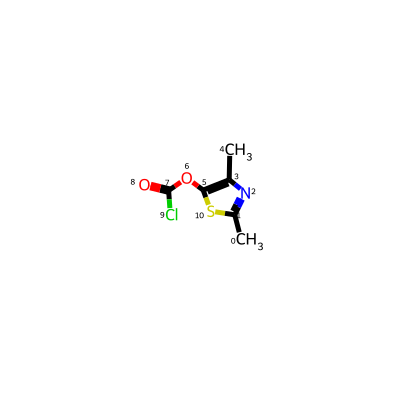 Cc1nc(C)c(OC(=O)Cl)s1